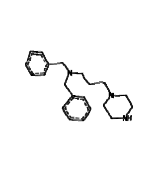 c1ccc(CN(CCCN2CCNCC2)Cc2ccccc2)cc1